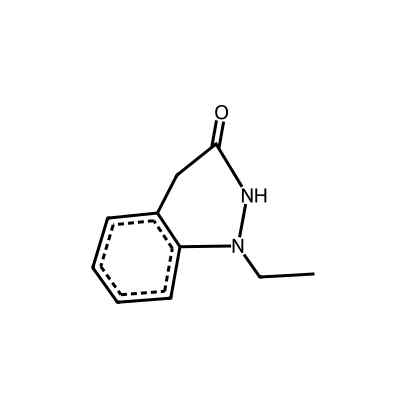 CCN1NC(=O)Cc2ccccc21